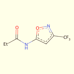 CCC(=O)Nc1cc(C(F)(F)F)no1